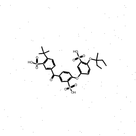 CCC(C)(CC)Oc1ccc(Oc2ccc(C(=O)c3ccc(C(C)(C)C)c(S(=O)(=O)O)c3)cc2S(=O)(=O)O)cc1S(=O)(=O)O